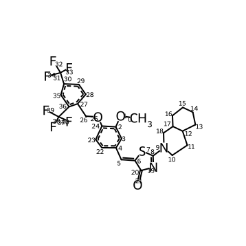 COc1cc(C=C2SC(N3CCC4CCCCC4C3)=NC2=O)ccc1OCc1ccc(C(F)(F)F)cc1C(F)(F)F